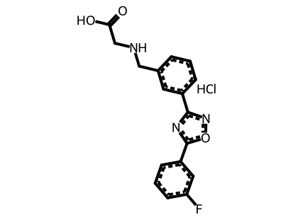 Cl.O=C(O)CNCc1cccc(-c2noc(-c3cccc(F)c3)n2)c1